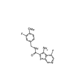 COc1ccc(CNC(=O)c2sc3cncc(F)c3c2N)cc1F